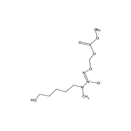 CN(CCCCCO)/[N+]([O-])=N/OCOC(=O)OC(C)(C)C